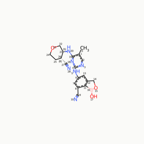 Cc1cnc(Nc2cc(C#N)c3c(c2)COB3O)nc1N[C@@H]1COCC[C@H]1C#N